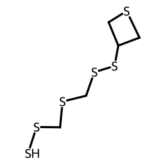 SSCSCSSC1CSC1